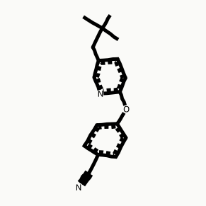 CC(C)(C)Cc1ccc(Oc2ccc(C#N)cc2)nc1